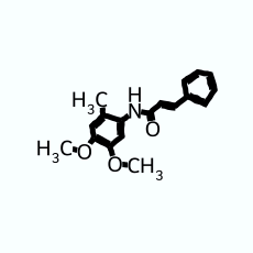 COc1cc(C)c(NC(=O)C=Cc2ccccc2)cc1OC